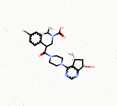 CC(C)N(CC(C(=O)N1CCN(c2ncnc3c2[C@H](C)C[C@H]3O)CC1)c1ccc(Cl)cc1)C(=O)O